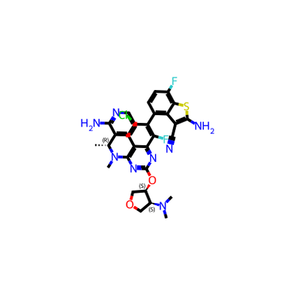 C[C@H](c1cccnc1N)N(C)c1nc(O[C@@H]2COC[C@@H]2N(C)C)nc2c(F)c(-c3ccc(F)c4sc(N)c(C#N)c34)c(Cl)cc12